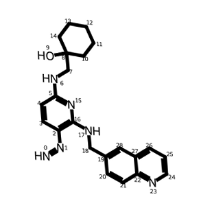 N=Nc1ccc(NCC2(O)CCCCC2)nc1NCc1ccc2ncccc2c1